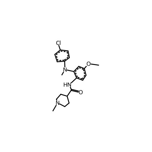 COc1ccc(NC(=O)C2CCN(C)CC2)c(N(C)c2ccc(Cl)cc2)c1